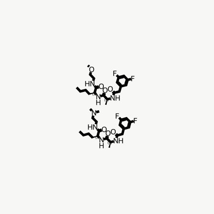 CCCC[C@H](NC(=O)[C@H](C)NC(=O)Cc1cc(F)cc(F)c1)C(=O)NCCN(C)C.CCCC[C@H](NC(=O)[C@H](C)NC(=O)Cc1cc(F)cc(F)c1)C(=O)NCCOC